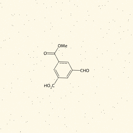 COC(=O)c1cc(C=O)cc(C(=O)O)c1